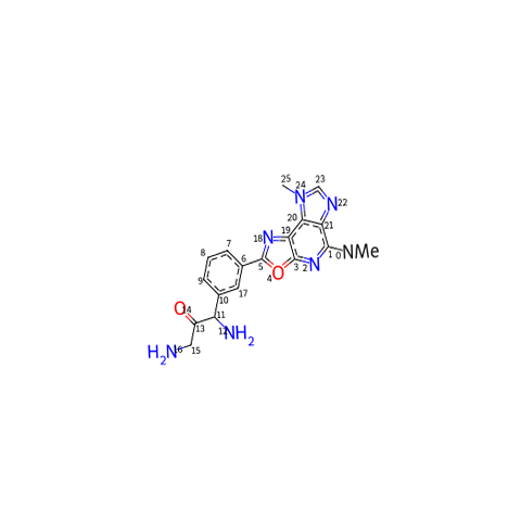 CNc1nc2oc(-c3cccc(C(N)C(=O)CN)c3)nc2c2c1ncn2C